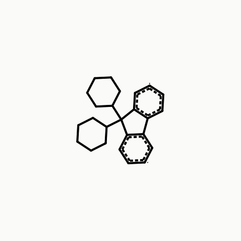 [c]1ccc2c(c1)-c1cc[c]cc1C2(C1CCCCC1)C1CCCCC1